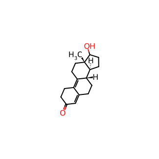 C[C@]12CCC3=C4CCC(=O)C=C4CC[C@H]3[C@@H]1CCC2O